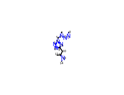 C/N=N\N(C)Cn1nnc(C/C(C)=N/C)n1